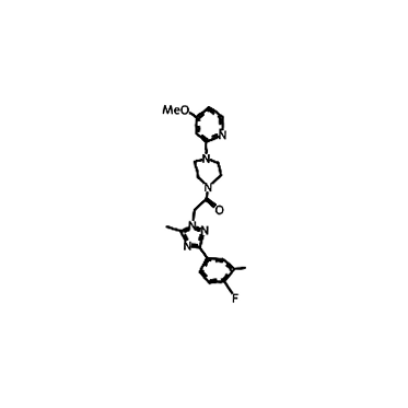 COc1ccnc(N2CCN(C(=O)Cn3nc(-c4ccc(F)c(C)c4)nc3C)CC2)c1